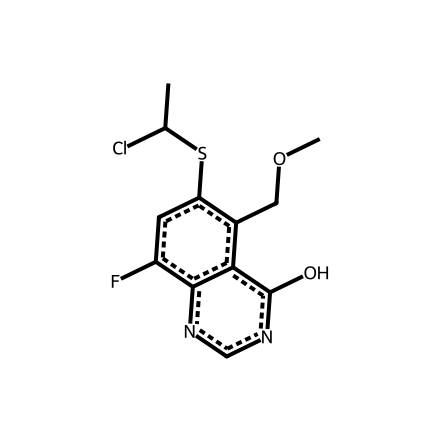 COCc1c(SC(C)Cl)cc(F)c2ncnc(O)c12